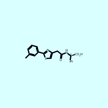 Cc1cccc(-c2nc(CC(=O)N[C@@H](C(=O)O)C(C)C)cs2)c1